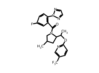 CC1CC(C(C)Oc2ccc(C(F)(F)F)cn2)N(C(=O)c2cc(F)ccc2-n2nccn2)C1